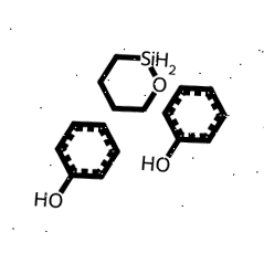 C1CC[SiH2]OC1.Oc1ccccc1.Oc1ccccc1